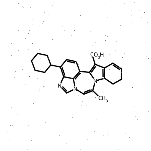 Cc1cn2cnc3c(C4CCCCC4)ccc(c32)c2c(C(=O)O)c3c(n12)CCC=C3